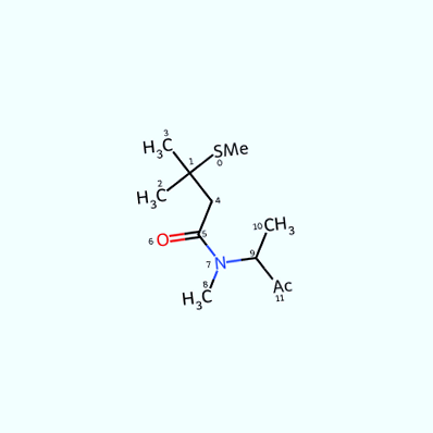 CSC(C)(C)CC(=O)N(C)C(C)C(C)=O